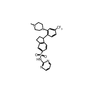 CN1CCN(c2cc(C(F)(F)F)ccc2C2CCc3cc(S(=O)(=O)Nc4ncccn4)ccc32)CC1